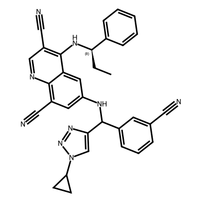 CC[C@@H](Nc1c(C#N)cnc2c(C#N)cc(NC(c3cccc(C#N)c3)c3cn(C4CC4)nn3)cc12)c1ccccc1